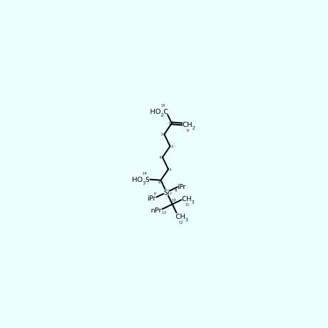 C=C(CCCCC([Si](C(C)C)(C(C)C)C(C)(C)CCC)S(=O)(=O)O)C(=O)O